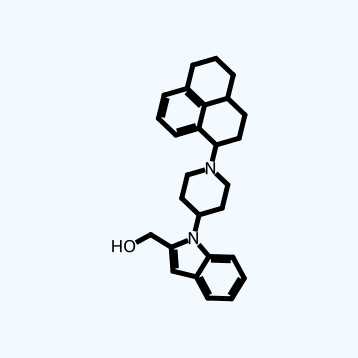 OCc1cc2ccccc2n1C1CCN(C2CCC3CCCc4cccc2c43)CC1